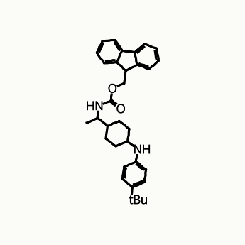 CC(NC(=O)OCC1c2ccccc2-c2ccccc21)C1CCC(Nc2ccc(C(C)(C)C)cc2)CC1